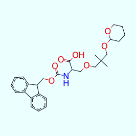 CC(C)(COCC(NC(=O)OCC1c2ccccc2-c2ccccc21)C(=O)O)COC1CCCCO1